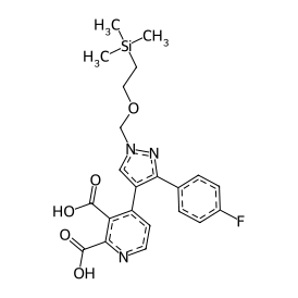 C[Si](C)(C)CCOCn1cc(-c2ccnc(C(=O)O)c2C(=O)O)c(-c2ccc(F)cc2)n1